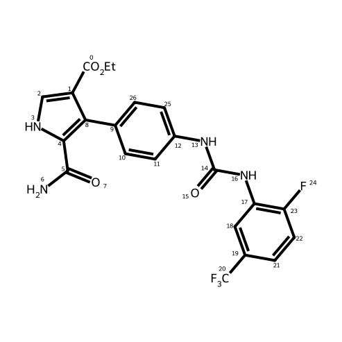 CCOC(=O)c1c[nH]c(C(N)=O)c1-c1ccc(NC(=O)Nc2cc(C(F)(F)F)ccc2F)cc1